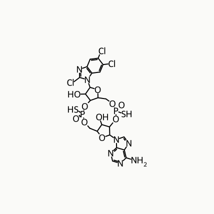 Nc1ncnc2c1ncn2C1OC2COP(=O)(S)OC3C(COP(=O)(S)OC1C2O)OC(n1c(Cl)nc2cc(Cl)c(Cl)cc21)C3O